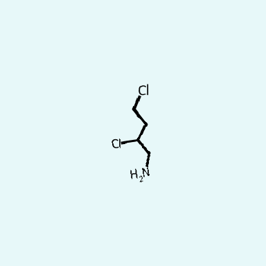 NCC(Cl)CCCl